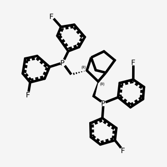 Fc1cccc(P(C[C@@H]2C3CCC(C3)[C@H]2CP(c2cccc(F)c2)c2cccc(F)c2)c2cccc(F)c2)c1